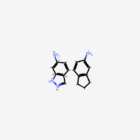 Nc1ccc2c(c1)CCC2.Nc1ccc2cn[nH]c2c1